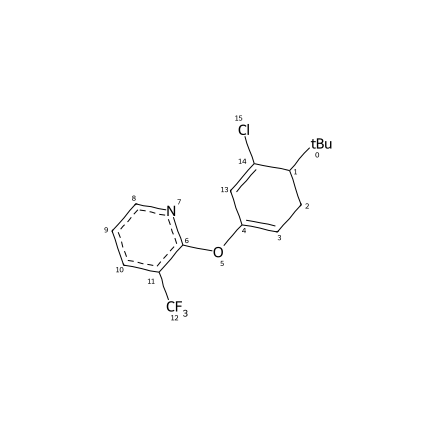 CC(C)(C)C1CC=C(Oc2ncccc2C(F)(F)F)C=C1Cl